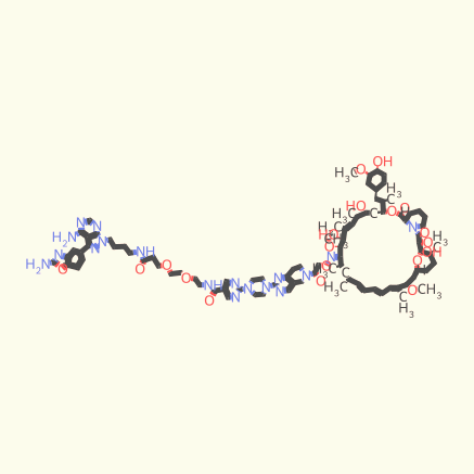 CO[C@H]1C[C@@H]2CC[C@@H](C)[C@@](O)(O2)C(=O)C(=O)N2CCCC[C@H]2C(=O)O[C@H]([C@H](C)C[C@@H]2CC[C@@H](O)[C@H](OC)C2)C[C@@H](O)[C@H](C)/C=C(\C)[C@@H](O)[C@@H](OC)/C(=N/OCC(=O)N2CCc3nc(N4CCN(c5ncc(C(=O)NCCOCCOCCC(=O)NCCCCn6nc(-c7ccc8oc(N)nc8c7)c7c(N)ncnc76)cn5)CC4)ncc3C2)[C@H](C)C[C@H](C)/C=C/C=C/C=C/1C